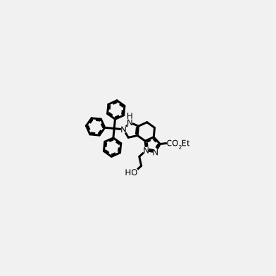 CCOC(=O)c1nn(CCO)c2c1CCC1=C2CN(C(c2ccccc2)(c2ccccc2)c2ccccc2)N1